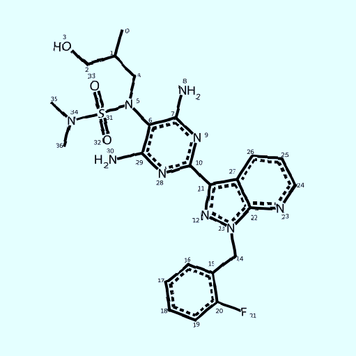 CC(CO)CN(c1c(N)nc(-c2nn(Cc3ccccc3F)c3ncccc23)nc1N)S(=O)(=O)N(C)C